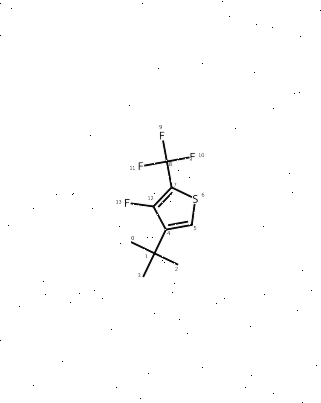 CC(C)(C)c1csc(C(F)(F)F)c1F